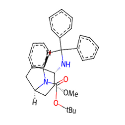 CO[C@@H]1C[C@H]2CC[C@H]([C@@H]1NC(c1ccccc1)(c1ccccc1)c1ccccc1)N2C(=O)OC(C)(C)C